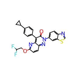 O=c1c(-c2ccc(C3CC3)cc2)c2nc(OCC(F)F)ccc2nn1-c1ccc2ncsc2c1